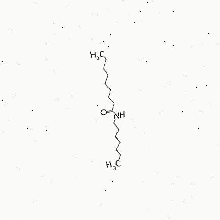 CCCCCCCCC(=O)NCCCCCCC